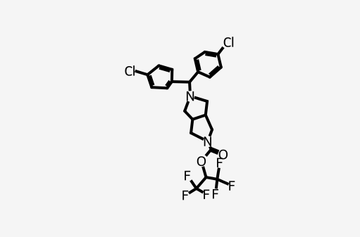 O=C(OC(C(F)(F)F)C(F)(F)F)N1CC2CN(C(c3ccc(Cl)cc3)c3ccc(Cl)cc3)CC2C1